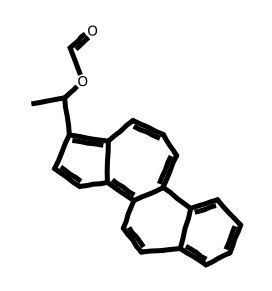 CC(OC=O)c1ccc2c3ccc4ccccc4c3cccc1-2